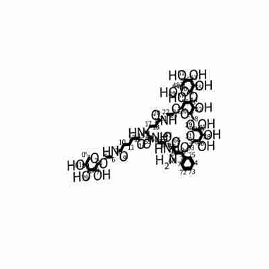 C[C@@H]1O[C@@H](OCCNC(=O)CCCC(=O)N[C@@H](CCC(=O)NCCO[C@H]2O[C@H](CO[C@H]3O[C@H](CO)[C@@H](O)[C@H](O)[C@@H]3O)[C@@H](O)[C@H](O[C@H]3O[C@H](CO)[C@@H](O)[C@H](O)[C@@H]3O)[C@@H]2O)C(=O)NCC(=O)NC(=O)[C@@H](N)Cc2ccccc2)[C@@H](O)[C@H](O)[C@@H]1O